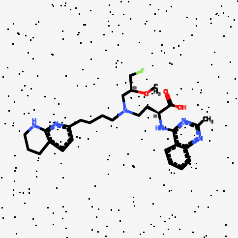 CO[C@H](CF)CN(CCCCc1ccc2c(n1)NCCC2)CC[C@H](Nc1nc(C)nc2ccccc12)C(=O)O